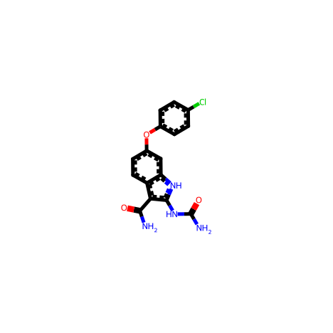 NC(=O)Nc1[nH]c2cc(Oc3ccc(Cl)cc3)ccc2c1C(N)=O